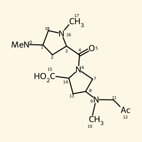 CNC1CC(C(=O)N2CC(N(C)CC(C)=O)CC2C(=O)O)N(C)C1